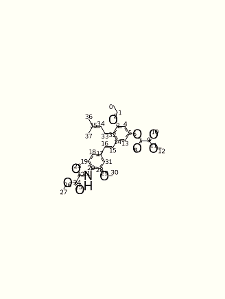 CCOc1cc(OC(=O)C(=O)OC)cc(C=Cc2ccc(NC(=O)C(=O)OC)c(OC)c2)c1CC=C(C)C